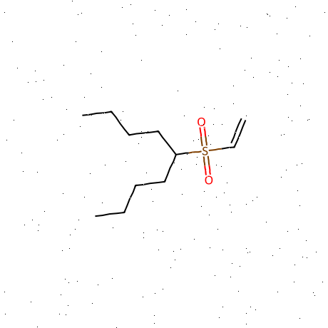 C=CS(=O)(=O)C(CCCC)CCCC